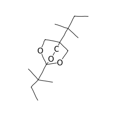 CCC(C)(C)C12COC(C(C)(C)CC)(OC1)OC2